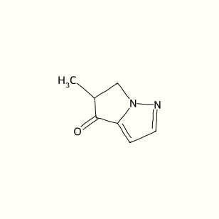 CC1Cn2nccc2C1=O